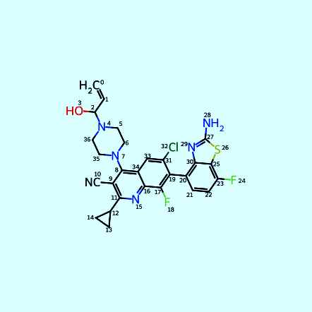 C=CC(O)N1CCN(c2c(C#N)c(C3CC3)nc3c(F)c(-c4ccc(F)c5sc(N)nc45)c(Cl)cc23)CC1